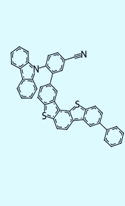 N#Cc1ccc(-n2c3ccccc3c3ccccc32)c(-c2ccc3sc4ccc5c6cc(-c7ccccc7)ccc6sc5c4c3c2)c1